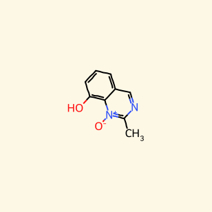 Cc1ncc2cccc(O)c2[n+]1[O-]